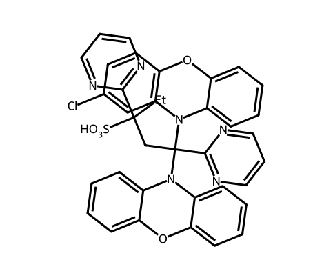 CCC(CC(c1ncccn1)(N1c2ccccc2Oc2ccccc21)N1c2ccccc2Oc2ccc(Cl)cc21)(c1ncccn1)S(=O)(=O)O